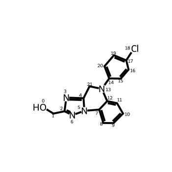 OCc1nc2n(n1)-c1ccccc1N(c1ccc(Cl)cc1)C2